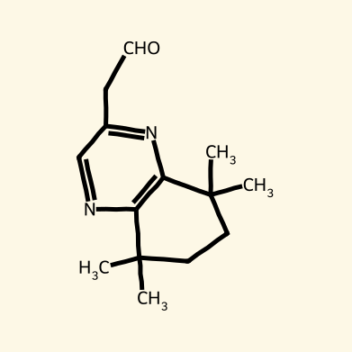 CC1(C)CCC(C)(C)c2nc(CC=O)cnc21